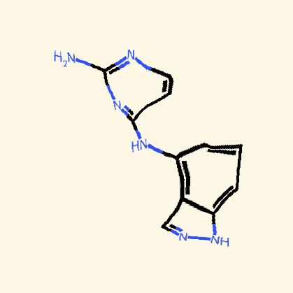 Nc1nccc(Nc2cccc3[nH]ncc23)n1